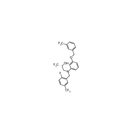 O[C@H](CN(Cc1cc(C(F)(F)F)ccc1F)c1cccc(OCc2cccc(C(F)(F)F)c2)c1)C(F)(F)F